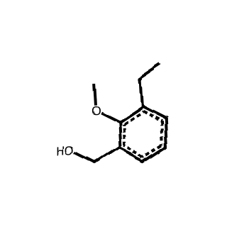 CCc1cccc(CO)c1OC